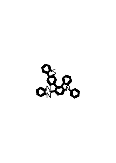 c1ccc(-n2c3ccccc3c3c4c5cc6sc7ccccc7c6cc5n5c6ccccc6nc5c4ccc32)cc1